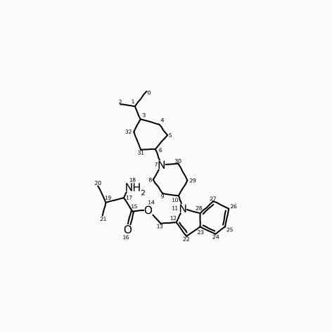 CC(C)C1CCC(N2CCC(n3c(COC(=O)C(N)C(C)C)cc4ccccc43)CC2)CC1